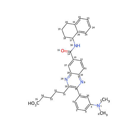 CN(C)c1cccc(-c2nc3ccc(C(=O)NC4CCCc5ccccc54)cc3nc2CCCCC(=O)O)c1